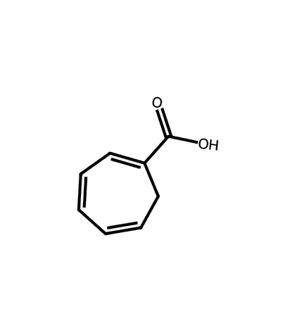 O=C(O)C1=CC=CC=CC1